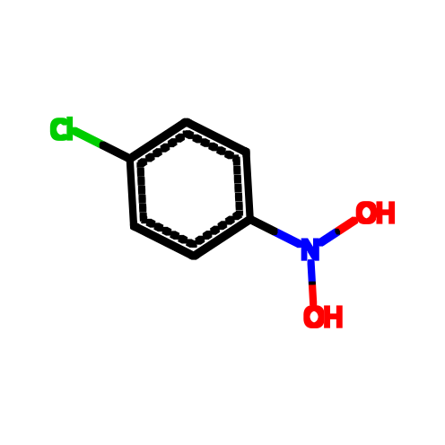 ON(O)c1ccc(Cl)cc1